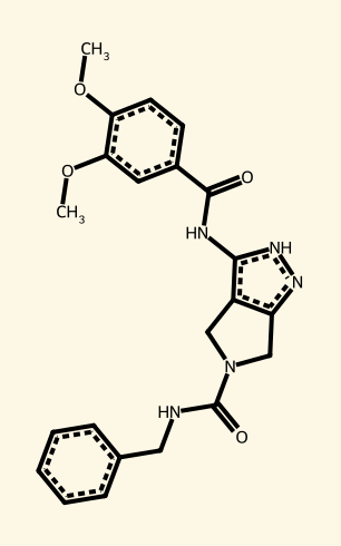 COc1ccc(C(=O)Nc2[nH]nc3c2CN(C(=O)NCc2ccccc2)C3)cc1OC